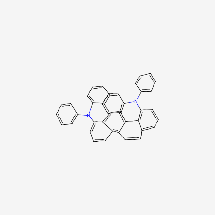 c1ccc(N(c2ccccc2)c2cccc3c2ccc2c3ccc3cccc(N(c4ccccc4)c4ccccc4)c32)cc1